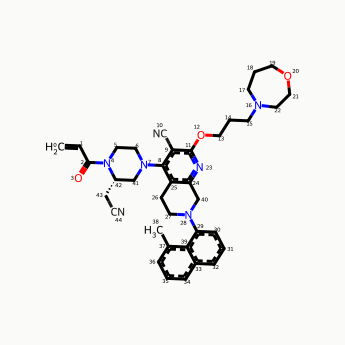 C=CC(=O)N1CCN(c2c(C#N)c(OCCCN3CCCOCC3)nc3c2CCN(c2cccc4cccc(C)c24)C3)C[C@@H]1CC#N